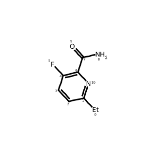 CCc1ccc(F)c(C(N)=O)n1